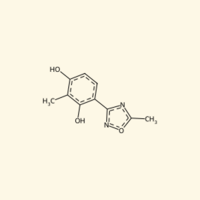 Cc1nc(-c2ccc(O)c(C)c2O)no1